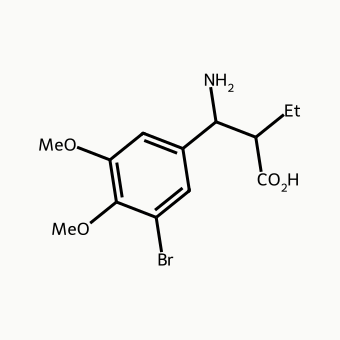 CCC(C(=O)O)C(N)c1cc(Br)c(OC)c(OC)c1